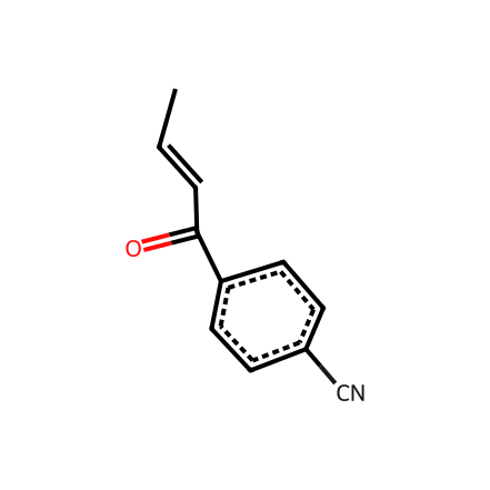 C/C=C/C(=O)c1ccc(C#N)cc1